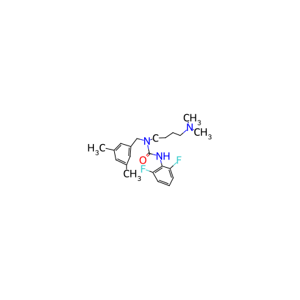 Cc1cc(C)cc(CN(CCCCN(C)C)C(=O)Nc2c(F)cccc2F)c1